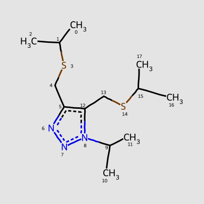 CC(C)SCc1nnn(C(C)C)c1CSC(C)C